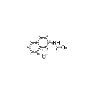 O=CNc1ccc2ccccc2c1.[H+]